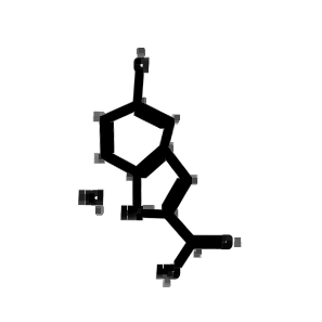 Cl.O=C(O)c1cc2cc(Cl)ccc2[nH]1